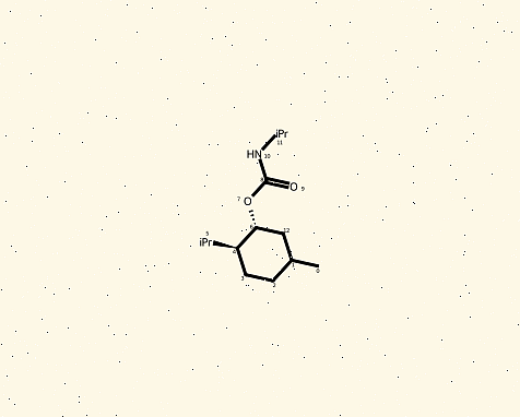 CC1CC[C@@H](C(C)C)[C@H](OC(=O)NC(C)C)C1